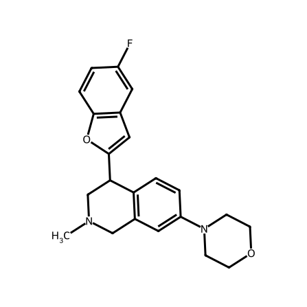 CN1Cc2cc(N3CCOCC3)ccc2C(c2cc3cc(F)ccc3o2)C1